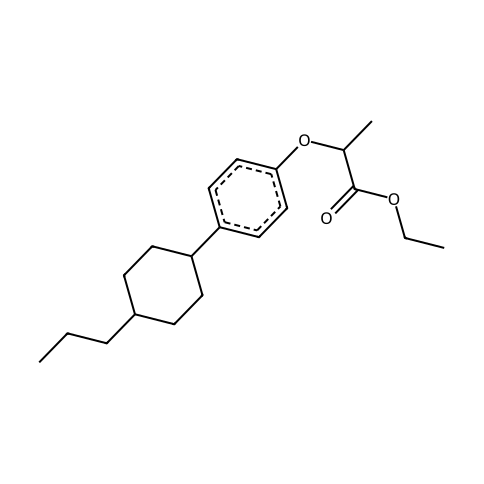 CCCC1CCC(c2ccc(OC(C)C(=O)OCC)cc2)CC1